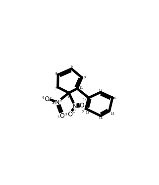 O=[N+]([O-])C1([N+](=O)[O-])CC=CC=C1c1ccccc1